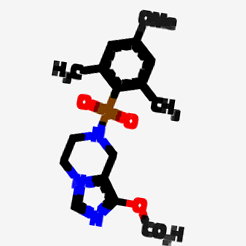 COc1cc(C)c(S(=O)(=O)N2CCn3cnc(OC(=O)O)c3C2)c(C)c1